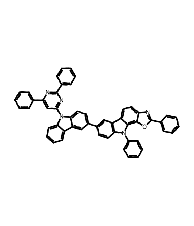 c1ccc(-c2cc(-n3c4ccccc4c4cc(-c5ccc6c(c5)c5ccc7nc(-c8ccccc8)oc7c5n6-c5ccccc5)ccc43)nc(-c3ccccc3)n2)cc1